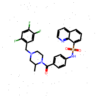 CC1CN(Cc2cc(F)c(F)cc2F)CCN1C(=O)c1ccc(NS(=O)(=O)c2cccc3cccnc23)cc1